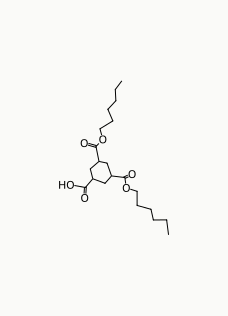 CCCCCCOC(=O)C1CC(C(=O)O)CC(C(=O)OCCCCCC)C1